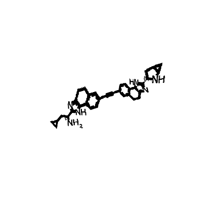 N[C@@H](CC1CC1)c1nc2c([nH]1)-c1ccc(C#Cc3ccc4c(c3)CCc3nc([C@@H]5CC6CC6N5)[nH]c3-4)cc1CC2